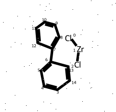 [Cl][Zr][Cl].c1ccc(-c2ccccc2)cc1